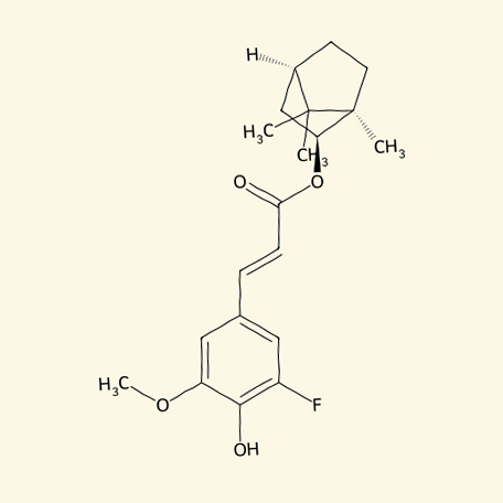 COc1cc(/C=C/C(=O)O[C@H]2C[C@H]3CC[C@]2(C)C3(C)C)cc(F)c1O